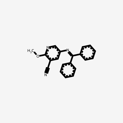 COc1ncc(N=C(c2ccccc2)c2ccccc2)cc1C#N